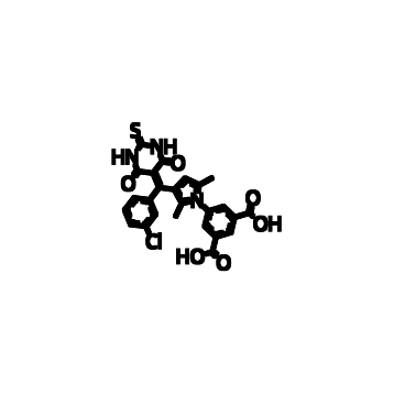 Cc1cc(C(=C2C(=O)NC(=S)NC2=O)c2cccc(Cl)c2)c(C)n1-c1cc(C(=O)O)cc(C(=O)O)c1